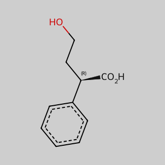 O=C(O)[C@H](CCO)c1ccccc1